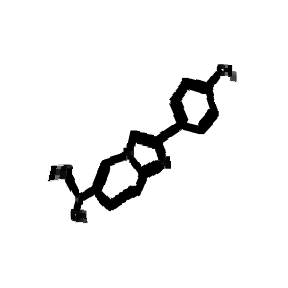 Cc1ccc(-c2cn3cc(B(O)O)ccc3n2)cc1